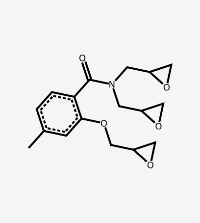 Cc1ccc(C(=O)N(CC2CO2)CC2CO2)c(OCC2CO2)c1